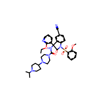 CCOc1ncccc1C1(NC(=O)N2CCN(C3CCN(C(C)C)CC3)CC2)C(=O)N(S(=O)(=O)c2ccccc2OC)c2ccc(C#N)cc21